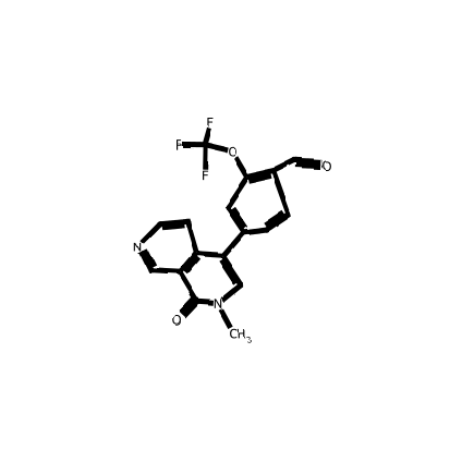 Cn1cc(-c2ccc(C=O)c(OC(F)(F)F)c2)c2ccncc2c1=O